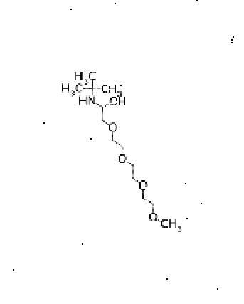 COCCOCCOCCOCC(O)NC(C)(C)C